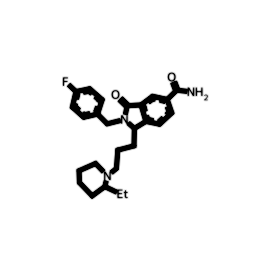 CCC1CCCCN1CCCC1c2ccc(C(N)=O)cc2C(=O)N1Cc1ccc(F)cc1